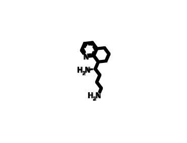 NCCC[C@H](N)C1CCCc2cccnc21